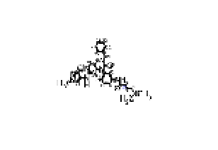 CN(C)C/C=C/C(=O)Nc1ccc(F)c(N2C(=O)N(Cc3ccccc3)Cc3cnc(Nc4cn(C)nc4Cl)nc32)c1